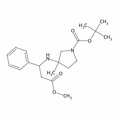 COC(=O)CC(NC1(C)CCN(C(=O)OC(C)(C)C)C1)c1ccccc1